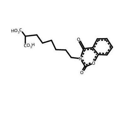 O=C(O)C(CCCCCCn1c(=O)oc2ccccc2c1=O)C(=O)O